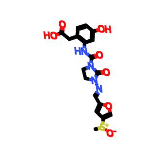 C[S+]([O-])c1coc(C=NN2CCN(C(=O)Nc3cc(O)ccc3CC(=O)O)C2=O)c1